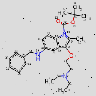 CCN(CC)CCOc1c(C)n(C(=O)OC(C)(C)C)c2ccc(NCc3ccccc3)cc12